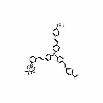 C=C(C)c1ccc(/C=C/c2ccc(N(c3ccc(/C=C/c4ccc(C(C)(C)C)cc4)cc3)c3ccc(/C=C/c4cccc(B5OC(C)(C)C(C)(C)O5)c4)cc3)cc2)cc1